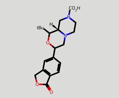 CC(C)(C)C1OC(c2ccc3c(c2)COC3=O)CN2CCN(C(=O)O)C[C@@H]12